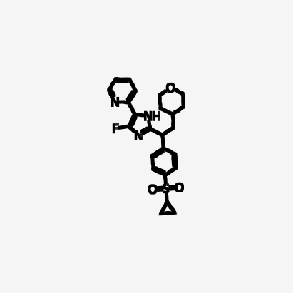 O=S(=O)(c1ccc(C(CC2CCOCC2)c2nc(F)c(-c3ccccn3)[nH]2)cc1)C1CC1